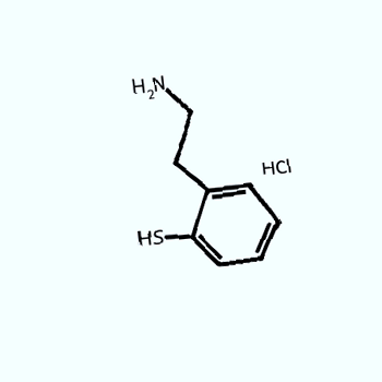 Cl.NCCc1ccccc1S